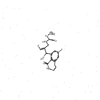 CC(C)(C)OC(=O)NC/C(=C\F)C(O)c1cc(F)cc2c1C(=O)NCC2